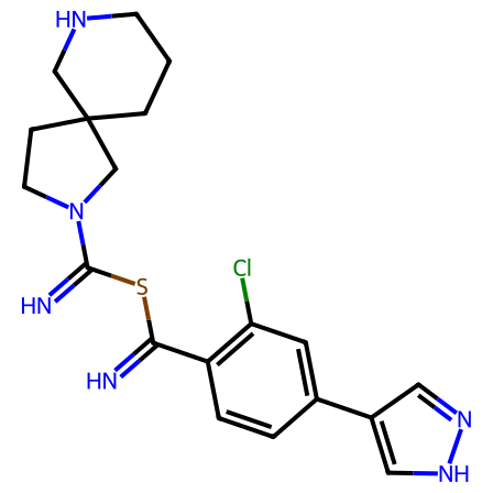 N=C(SC(=N)N1CCC2(CCCNC2)C1)c1ccc(-c2cn[nH]c2)cc1Cl